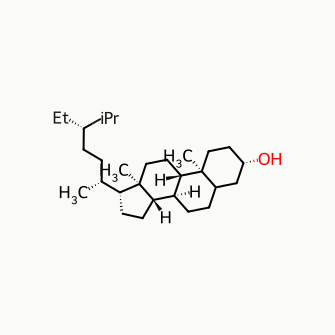 CC[C@@H](CC[C@@H](C)[C@H]1CC[C@H]2[C@@H]3CCC4C[C@@H](O)CC[C@]4(C)[C@H]3CC[C@]12C)C(C)C